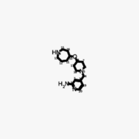 Nc1cc(CN2CCC(OC3CCCNCC3)CC2)ccn1